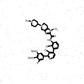 COc1cc(-c2nccc(-c3cccc(NC(=O)c4nc5c(n4C)CCN(C4CCN(C(C)=O)CC4)C5)c3Cl)c2Cl)cc(F)c1C=O